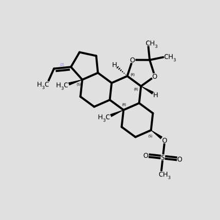 C/C=C1/CCC2C3C(CC[C@]12C)[C@@]1(C)CC[C@H](OS(C)(=O)=O)CC1[C@H]1OC(C)(C)O[C@H]31